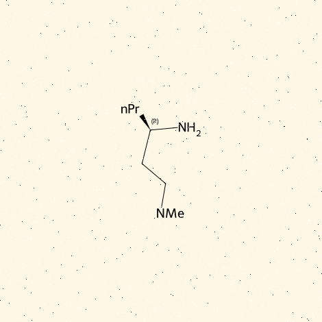 CCC[C@@H](N)CCNC